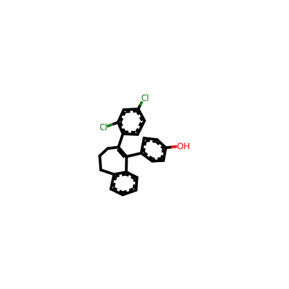 Oc1ccc(C2=C(c3ccc(Cl)cc3Cl)CCCc3ccccc32)cc1